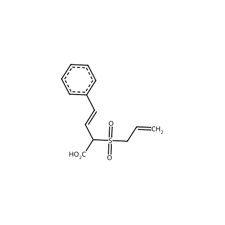 C=CCS(=O)(=O)C(C=Cc1ccccc1)C(=O)O